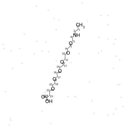 CCCNCCOCCOCCOCCOCCOCCOCCC(=O)O